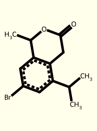 CC(C)c1cc(Br)cc2c1CC(=O)OC2C